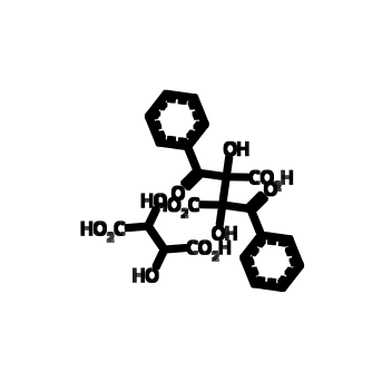 O=C(O)C(O)(C(=O)c1ccccc1)C(O)(C(=O)O)C(=O)c1ccccc1.O=C(O)C(O)C(O)C(=O)O